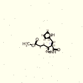 COC(=O)CCC1=NNC(=O)/C1=C/c1ccc[nH]1